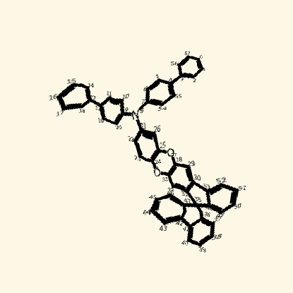 c1ccc(-c2ccc(N(c3ccc(-c4ccccc4)cc3)c3ccc4c(c3)Oc3cc5c(cc3O4)C3(c4ccccc4-c4ccccc43)c3ccccc3-5)cc2)cc1